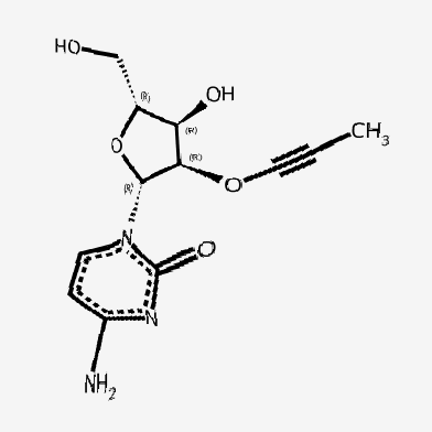 CC#CO[C@@H]1[C@H](O)[C@@H](CO)O[C@H]1n1ccc(N)nc1=O